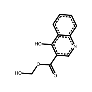 O=C(OCO)c1cnc2ccccc2c1O